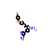 C=C(/C=C\C(=C/C)CC(=C)C(=C)c1cc(-c2cncc(CN(C)C)c2)ccc1N)Oc1ccc(F)cc1